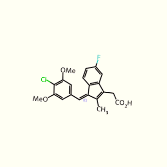 COc1cc(/C=C2/C(C)=C(CC(=O)O)c3cc(F)ccc32)cc(OC)c1Cl